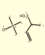 C=CC(F)S(=O)(=O)O.C[Si](C)(C)Cl